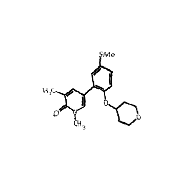 CSc1ccc(OC2CCOCC2)c(-c2cc(C)c(=O)n(C)c2)c1